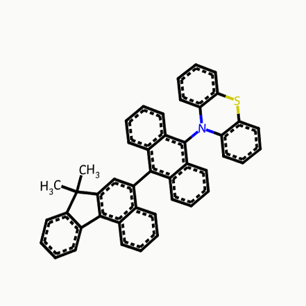 CC1(C)c2ccccc2-c2c1cc(-c1c3ccccc3c(N3c4ccccc4Sc4ccccc43)c3ccccc13)c1ccccc21